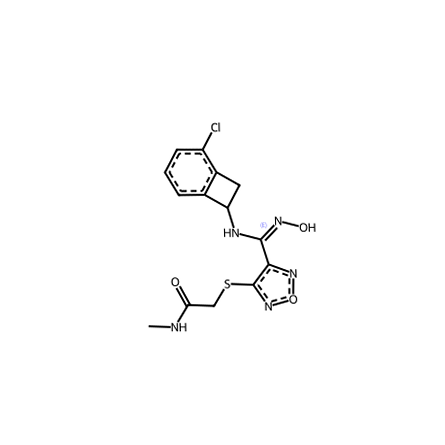 CNC(=O)CSc1nonc1/C(=N\O)NC1Cc2c(Cl)cccc21